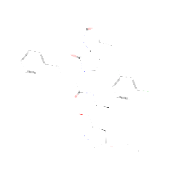 CCCO[C@H]1CN[C@@H]([C@@H](O)[C@H](Cc2cc(F)cc(F)c2)NC(=O)[C@H](CCc2ccccc2)N2CC[C@@](NC(C)=O)(C(C)CC)C2=O)C1